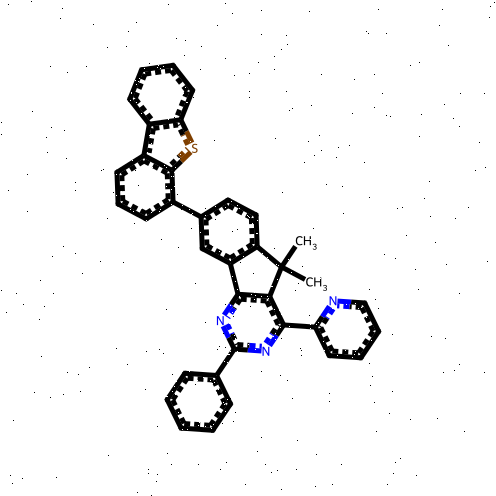 CC1(C)c2ccc(-c3cccc4c3sc3ccccc34)cc2-c2nc(-c3ccccc3)nc(-c3ccccn3)c21